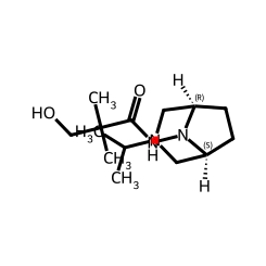 CC(C)N1C[C@H]2CC[C@@H](C1)N2NC(=O)C(C)(C)CO